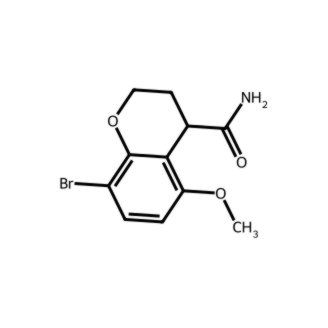 COc1ccc(Br)c2c1C(C(N)=O)CCO2